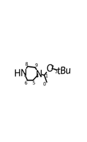 CC(OC(C)(C)C)N1CCNCC1